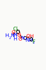 NC(=O)Nc1cc(Cl)ccc1OCC(=O)N1CCC(N)(C(O)c2ccc(F)cc2)CC1